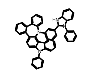 C1=CC2NC(c3cccc(N4c5ccccc5-c5ccccc5-c5ccc6c(c54)c4ccccc4n6-c4ccccc4)c3)N(c3ccccc3)C2C=C1